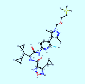 Cc1nn(COCCS(C)(C)C)c(C)c1-c1ccc(NC(=O)C(NC(=O)c2nonc2C2CC2)C(C2CC2)C2CC2)nc1F